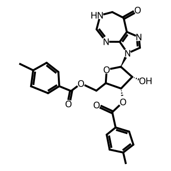 Cc1ccc(C(=O)OCC2O[C@@H](n3cnc4c3N=CNCC4=O)[C@H](O)[C@@H]2OC(=O)c2ccc(C)cc2)cc1